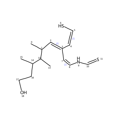 CC(/C=C(/C=C\S)\C=C/NC=S)C(C)C(C)CCO